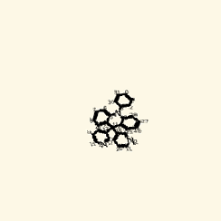 c1ccc(N2c3ccccc3C(c3cccnc3)(c3cccnc3)c3ccccc32)cc1